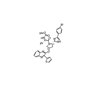 COC(=O)N[C@H](C(=O)N1C[C@H](Oc2nc3ccccc3nc2-c2cccs2)C[C@H]1c1nc(-c2ccc(Br)cc2)c[nH]1)C(C)C